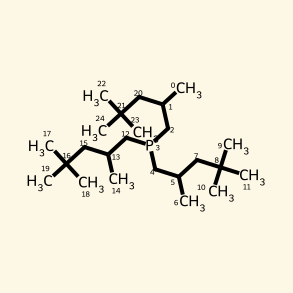 CC(CP(CC(C)CC(C)(C)C)CC(C)CC(C)(C)C)CC(C)(C)C